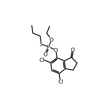 CCCSP(=O)(OCC)Oc1c(Cl)cc(Cl)c2c1C(=O)CC2